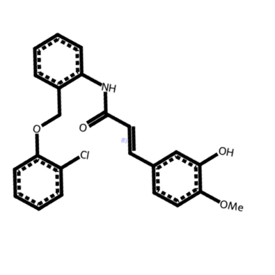 COc1ccc(/C=C/C(=O)Nc2ccccc2COc2ccccc2Cl)cc1O